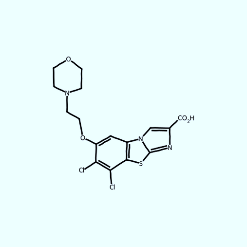 O=C(O)c1cn2c(n1)sc1c(Cl)c(Cl)c(OCCN3CCOCC3)cc12